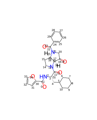 O=C(N[C@@H](CC1CCCCC1)C(=O)N1CC[C@@H]2[C@H]1C(=O)CN2C(=O)c1ccccc1)c1ccco1